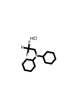 Cl.FC(F)(F)CN(C1CCCCC1)C1CCCCC1